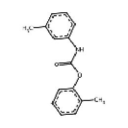 Cc1cccc(NC(=O)Oc2c[c]ccc2C)c1